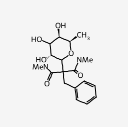 CNC(=O)C(Cc1ccccc1)(C(=O)NC)C1O[C@H](C)[C@H](O)C(O)[C@H]1O